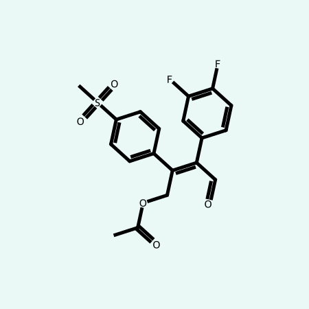 CC(=O)OC/C(=C(\C=O)c1ccc(F)c(F)c1)c1ccc(S(C)(=O)=O)cc1